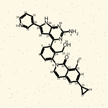 Nc1nc(-c2cccc(-n3ccc4cc(C5CC5)cc(F)c4c3=O)c2CO)c2cc(-c3cccnc3)[nH]c2n1